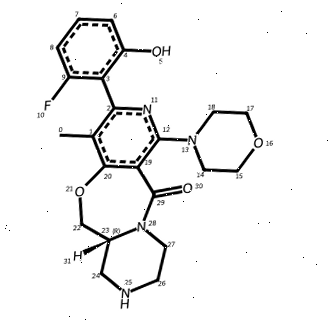 Cc1c(-c2c(O)cccc2F)nc(N2CCOCC2)c2c1OC[C@H]1CNCCN1C2=O